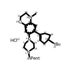 CCCCCN1CCN(c2cc3c(cc2C2=CCC(C(C)(C)C)CC2)N(C)CCO3)CC1.Cl